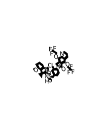 COc1cccc(OC)c1C1(C(=O)NS(=O)(=O)Cc2ccc(N3Cc4c(c(OCC(F)(F)F)c5cccnc5c4OCC(F)(F)F)C3=O)c(Cl)c2)CC1